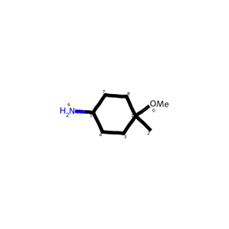 COC1(C)CCC(N)CC1